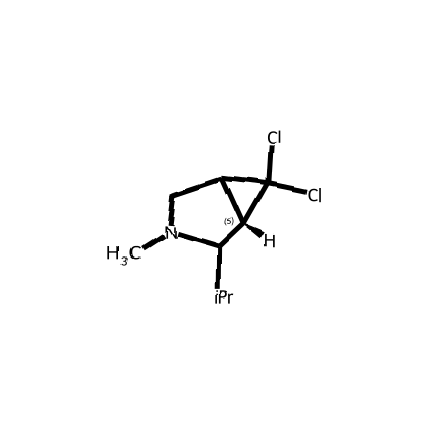 CC(C)C1[C@@H]2C(CN1C)C2(Cl)Cl